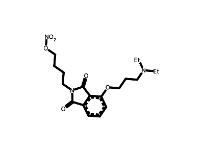 CCN(CC)CCCOc1cccc2c1C(=O)N(CCCCO[N+](=O)[O-])C2=O